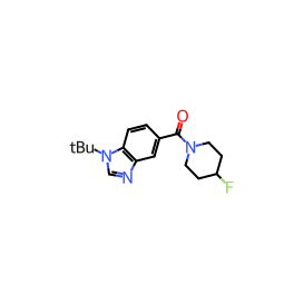 CC(C)(C)n1cnc2cc(C(=O)N3CCC(F)CC3)ccc21